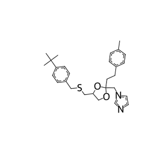 Cc1ccc(CCC2(Cn3ccnc3)OCC(CSCc3ccc(C(C)(C)C)cc3)O2)cc1